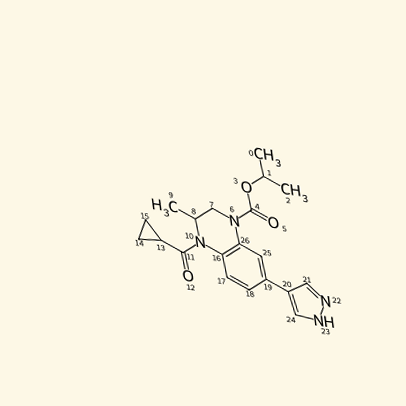 CC(C)OC(=O)N1CC(C)N(C(=O)C2CC2)c2ccc(-c3cn[nH]c3)cc21